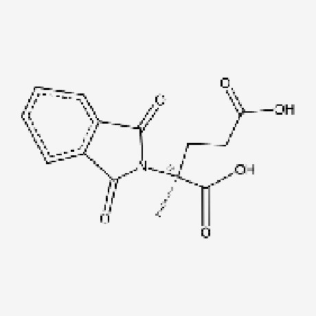 C[C@](CCC(=O)O)(C(=O)O)N1C(=O)c2ccccc2C1=O